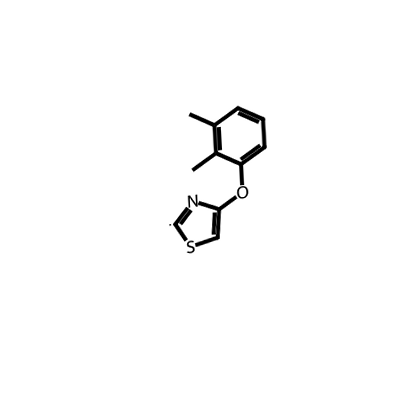 Cc1cccc(Oc2cs[c]n2)c1C